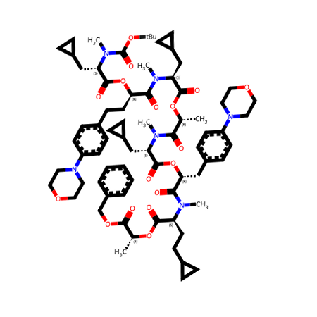 C[C@@H](OC(=O)[C@H](CCC1CC1)N(C)C(=O)[C@@H](Cc1ccc(N2CCOCC2)cc1)OC(=O)[C@H](CC1CC1)N(C)C(=O)[C@@H](C)OC(=O)[C@H](CC1CC1)N(C)C(=O)[C@@H](CCc1ccc(N2CCOCC2)cc1)OC(=O)[C@H](CC1CC1)N(C)C(=O)OC(C)(C)C)C(=O)OCc1ccccc1